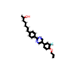 C=CCOc1ccc(-c2cnc(-c3ccc(C=CCCCC(C)O)cc3)nc2)cc1F